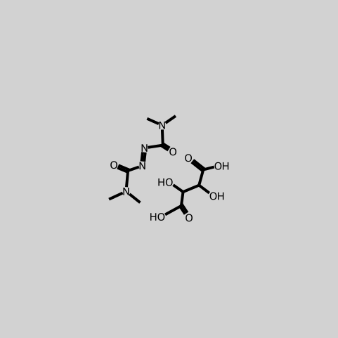 CN(C)C(=O)N=NC(=O)N(C)C.O=C(O)C(O)C(O)C(=O)O